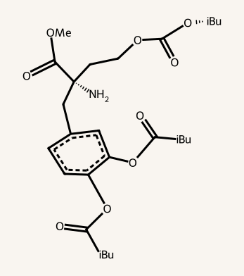 CCC(C)C(=O)Oc1ccc(C[C@](N)(CCOC(=O)O[C@@H](C)CC)C(=O)OC)cc1OC(=O)C(C)CC